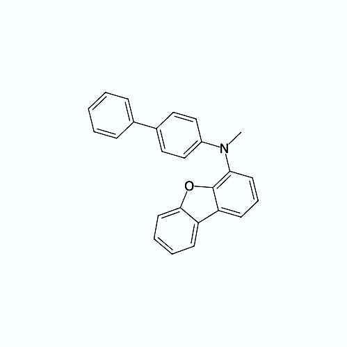 CN(c1ccc(-c2ccccc2)cc1)c1cccc2c1oc1ccccc12